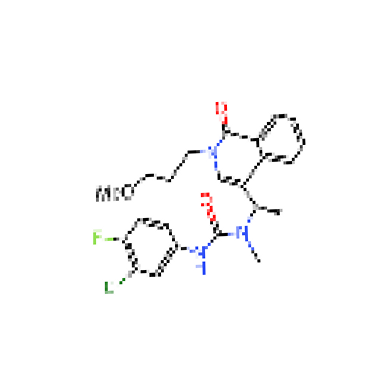 COCCCn1cc([C@@H](C)N(C)C(=O)Nc2ccc(F)c(Cl)c2)c2ccccc2c1=O